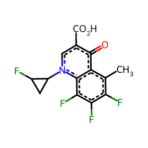 Cc1c(F)c(F)c(F)c2c1c(=O)c(C(=O)O)cn2C1CC1F